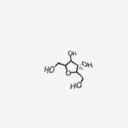 OCC1OC(CO)[C@@H](O)C1O